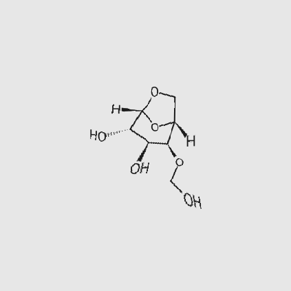 OCO[C@H]1[C@@H](O)[C@H](O)[C@@H]2OC[C@H]1O2